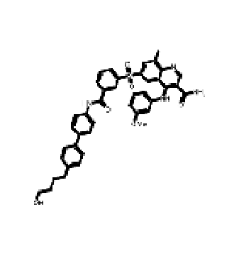 COc1cccc(Nc2c(C(N)=O)cnc3c(C)cc(S(=O)(=O)c4cccc(C(=O)Nc5ccc(-c6ccc(CCCCO)cc6)cc5)c4)cc23)c1